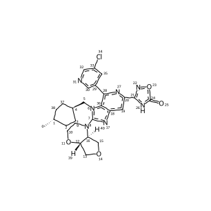 C[C@H]1CC[C@H](Cn2c(N3CCO[C@H]4COC[C@@H]43)nc3cc(-c4noc(=O)[nH]4)nc(-c4cncc(Cl)c4)c32)CC1